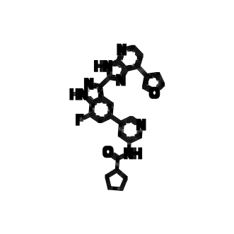 O=C(Nc1cncc(-c2cc(F)c3[nH]nc(-c4nc5c(-c6ccoc6)ccnc5[nH]4)c3c2)c1)C1CCCC1